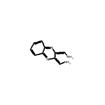 N/C=c1/nc2ccccc2n/c1=C/N